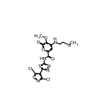 COCCNc1cc(C(=O)Nc2nnc(-c3c(Cl)nsc3Cl)s2)oc(=O)c1OC